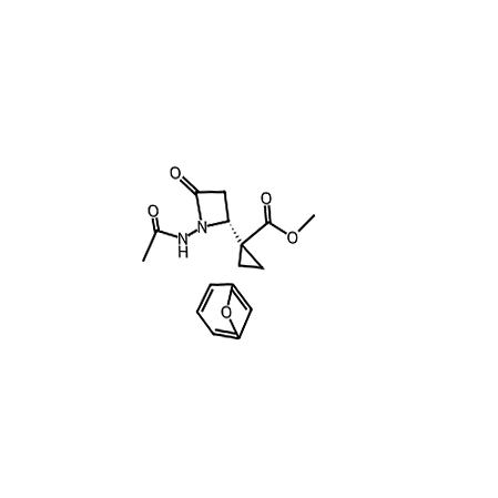 COC(=O)C1([C@H]2CC(=O)N2NC(C)=O)CC1.c1cc2cc(c1)O2